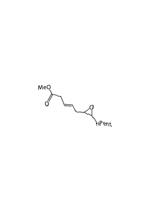 CCCCCC1OC1C/C=C/CC(=O)OC